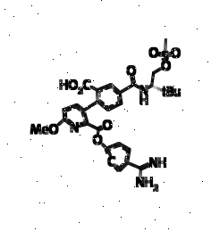 COc1ccc(-c2ccc(C(=O)N[C@H](COS(C)(=O)=O)C(C)(C)C)cc2C(=O)O)c(C(=O)Oc2ccc(C(=N)N)cc2)n1